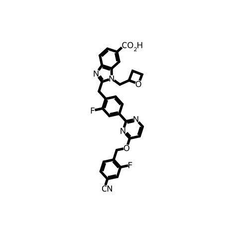 N#Cc1ccc(COc2ccnc(-c3ccc(Cc4nc5ccc(C(=O)O)cc5n4CC4CCO4)c(F)c3)n2)c(F)c1